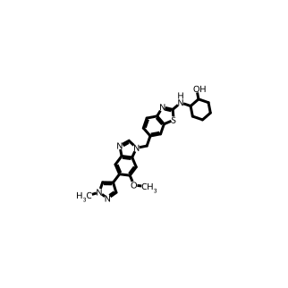 COc1cc2c(cc1-c1cnn(C)c1)ncn2Cc1ccc2nc(NC3CCCCC3O)sc2c1